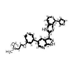 CN(C)CCOc1cncc(-c2cnc3[nH]nc(-c4nc5c(-c6ccsc6)nccc5[nH]4)c3c2)c1